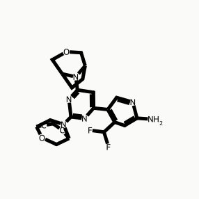 Nc1cc(C(F)F)c(-c2cc(N3C4CCC3COC4)nc(N3CC4CCCC3CO4)n2)cn1